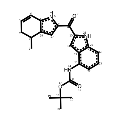 CC1CC=Cc2[nH]c(C(=O)c3cc4c(NC(=O)OC(C)(C)C)cccc4[nH]3)cc21